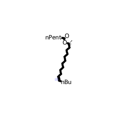 CCCC/C=C\CCCCCCCCC[C@@H](C)OC(=O)CCCCC